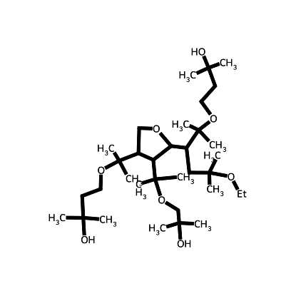 CCOC(C)(C)CC(C1OCC(C(C)(C)OCCC(C)(C)O)C1C(C)(C)OCC(C)(C)O)C(C)(C)OCCC(C)(C)O